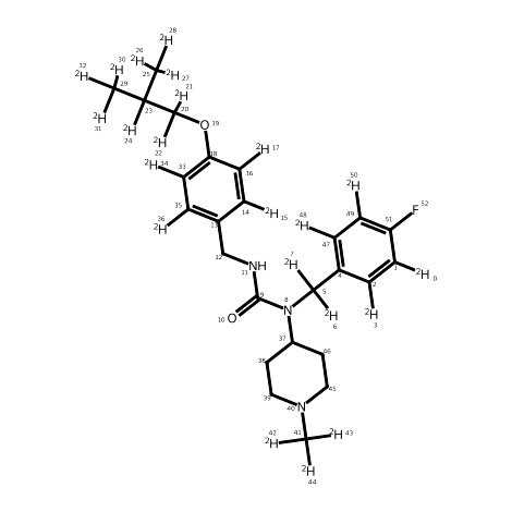 [2H]c1c([2H])c(C([2H])([2H])N(C(=O)NCc2c([2H])c([2H])c(OC([2H])([2H])C([2H])(C([2H])([2H])[2H])C([2H])([2H])[2H])c([2H])c2[2H])C2CCN(C([2H])([2H])[2H])CC2)c([2H])c([2H])c1F